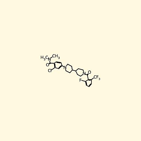 CN(C)C(=O)c1ccc(N2CCC(C3CCN(C(=O)c4c(F)cccc4C(F)(F)F)CC3)CC2)cc1Cl